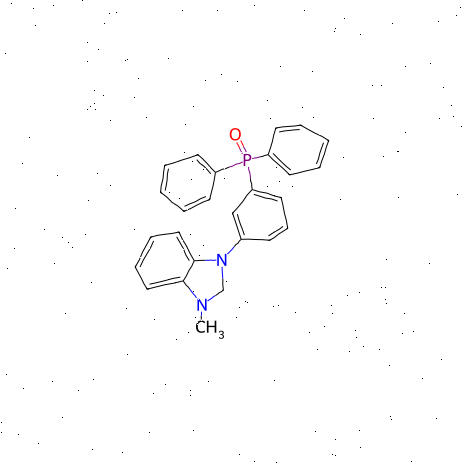 CN1CN(c2cccc(P(=O)(c3ccccc3)c3ccccc3)c2)c2ccccc21